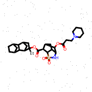 CCC1(OC(=O)C2C3CC4C(NS(=O)(=O)C42)C3OC(=O)CCN2CCCCC2)CC2CC1C1C3CCC(C3)C21